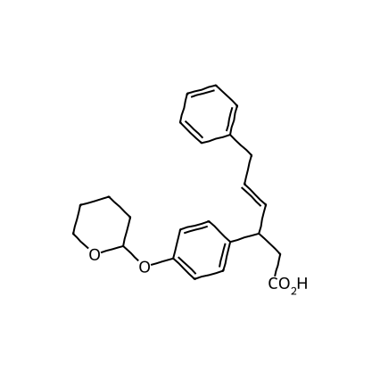 O=C(O)CC(C=CCc1ccccc1)c1ccc(OC2CCCCO2)cc1